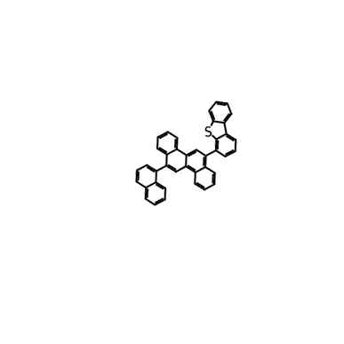 c1ccc2c(-c3cc4c5ccccc5c(-c5cccc6c5sc5ccccc56)cc4c4ccccc34)cccc2c1